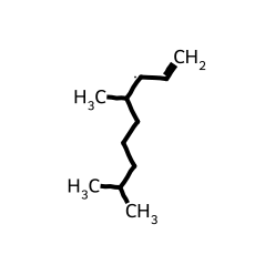 C=C[CH]C(C)CCCC(C)C